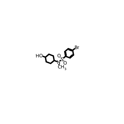 CN(C1CCC(O)CC1)S(=O)(=O)c1ccc(Br)cc1